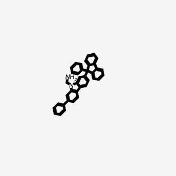 NCn1c2cc(-c3ccccc3)ccc2c2ccc(C3(c4ccccc4)c4ccccc4-c4ccccc43)cc21